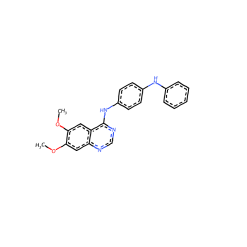 COc1cc2ncnc(Nc3ccc(Nc4ccccc4)cc3)c2cc1OC